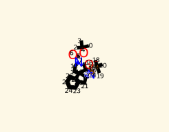 CC(C)(C)OC(=O)N1CCC2(CC1)/C(=N\[S@+]([O-])C(C)(C)C)Cc1ccccc12